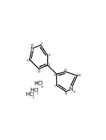 Cl.Cl.Cl.c1cc(-c2ccncc2)ccn1